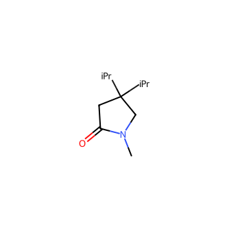 CC(C)C1(C(C)C)CC(=O)N(C)C1